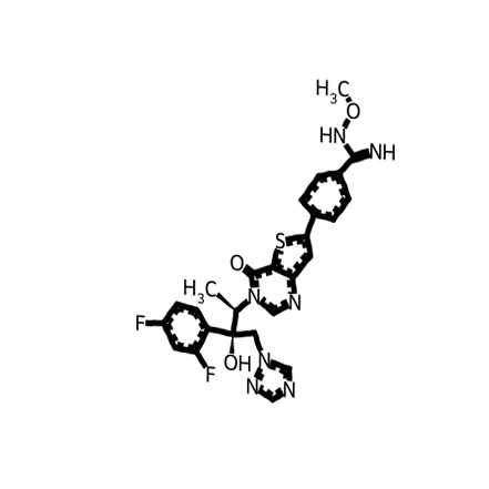 CONC(=N)c1ccc(-c2cc3ncn([C@H](C)[C@](O)(Cn4cncn4)c4ccc(F)cc4F)c(=O)c3s2)cc1